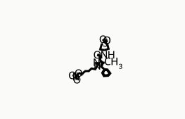 Cc1c(C(=O)NC2CCS(=O)(=O)CC2)nn(CCCCCO[N+](=O)[O-])c1-c1ccccc1